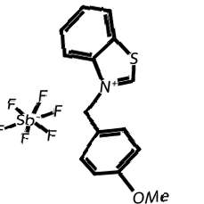 COc1ccc(C[n+]2csc3ccccc32)cc1.[F][Sb-]([F])([F])([F])([F])[F]